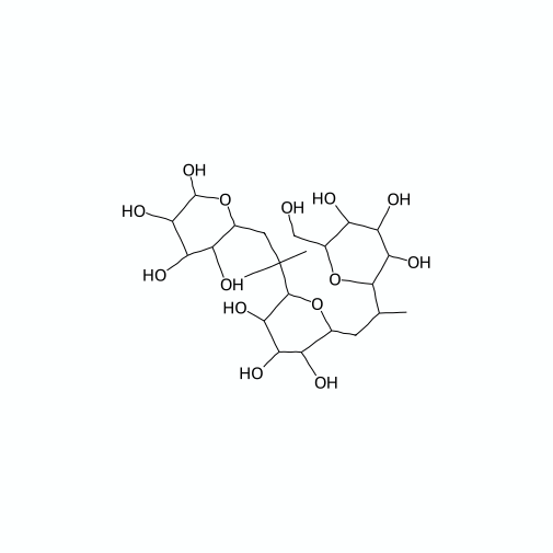 CC(CC1OC(C(C)(C)CC2OC(O)C(O)C(O)C2O)C(O)C(O)C1O)C1OC(CO)C(O)C(O)C1O